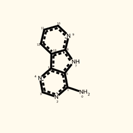 Nc1ncnc2c1[nH]c1ncccc12